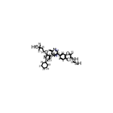 C=C(/N=C\C(=C/N)c1ccc(Cl)c(O[C@@H](C)CNC=N)c1)Nc1cn(C2CCCCC2)nc1OCCC(C)(C)O